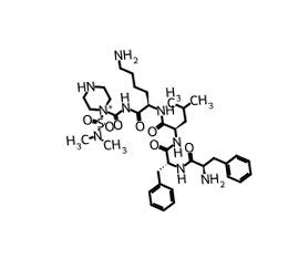 CC(C)C[C@@H](NC(=O)[C@@H](Cc1ccccc1)NC(=O)[C@H](N)Cc1ccccc1)C(=O)N[C@H](CCCCN)C(=O)NC(=O)[N+]1(S(=O)(=O)N(C)C)CCNCC1